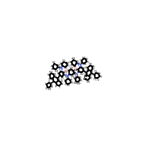 c1ccc(-c2c3ccccc3c(-c3cc4c5c(c3)N(c3ccccc3)c3cc6c(cc3B5c3ccccc3N4c3ccccc3)B3c4ccccc4N(c4ccccc4)c4cc(-c5c7ccccc7c(-c7ccccc7)c7ccccc57)cc(c43)N6c3ccccc3)c3ccccc23)cc1